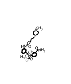 CN1CCN(CCCOC(=O)Nc2cccc(C(C)(C)n3c(=O)oc4ccc(C(N)=O)cc43)c2)CC1